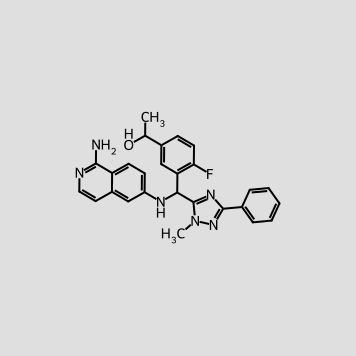 CC(O)c1ccc(F)c(C(Nc2ccc3c(N)nccc3c2)c2nc(-c3ccccc3)nn2C)c1